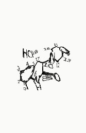 Cc1cccc2c1NC(=O)C(N1CCOCC1)C2.Cl